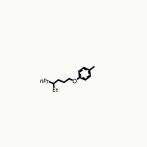 CCCC(CC)CCCOc1ccc(C)cc1